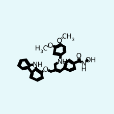 COc1ccc(NC/C(=C\c2ccc(C(=O)NO)cc2)COc2cccc3c2[nH]c2ccccc23)cc1OC